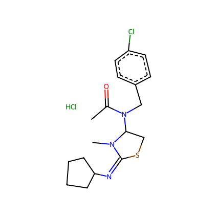 CC(=O)N(Cc1ccc(Cl)cc1)C1CSC(=NC2CCCC2)N1C.Cl